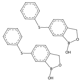 OB1OCc2ccc(Sc3ccccc3)cc21.OB1OCc2ccc(Sc3ccccc3)cc21